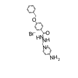 Nc1cc[n+](CNNC(=O)c2ccc(OCc3ccccc3)cc2)cc1.[Br-]